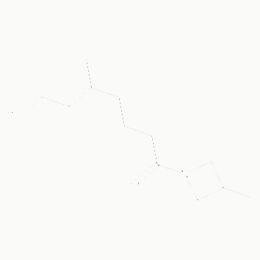 CC(=O)CCC(C)CCCC(=O)N1CC(C)C1